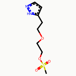 CS(=O)(=O)OCCOCCc1ccn[nH]1